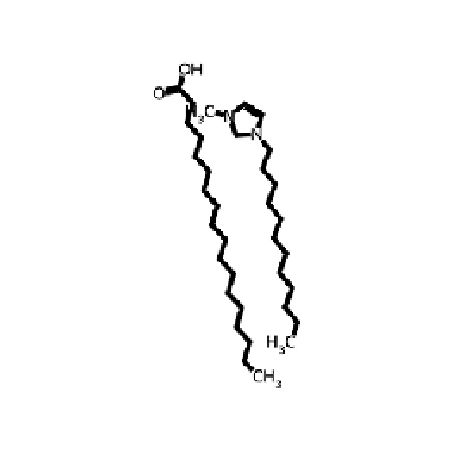 CCCCCCCCCCCCCCCCCC(=O)O.CCCCCCCCCCCCN1C=CN(C)C1